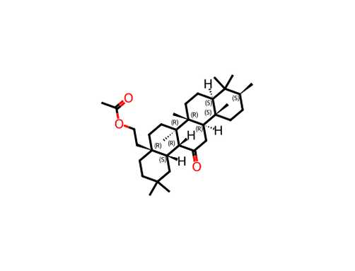 CC(=O)OCC[C@]12CCC(C)(C)C[C@H]1[C@H]1C(=O)C[C@@H]3[C@@]4(C)CC[C@H](C)C(C)(C)[C@@H]4CC[C@@]3(C)[C@]1(C)CC2